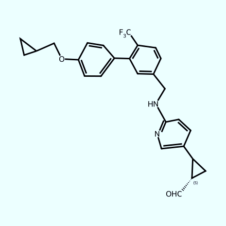 O=C[C@H]1CC1c1ccc(NCc2ccc(C(F)(F)F)c(-c3ccc(OCC4CC4)cc3)c2)nc1